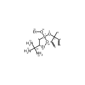 C=CC(C)(C=C)O[Si](CCC(N)(N)N)(OCC)OCC